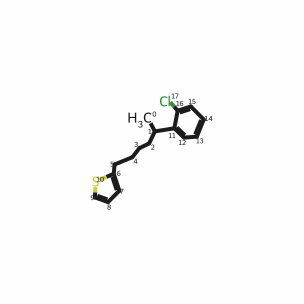 CC(CCCCc1cccs1)c1ccccc1Cl